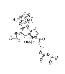 CCC(=O)NC(Cc1cccc(C(=O)OCOC(=O)OC(CC)CC)c1OC)B1OC2CC3CC(C3(C)C)C2(C)O1